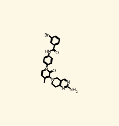 Cc1ccn(-c2ccc(NC(=O)c3cccc(Br)c3)cc2)c(=O)c1N1CCc2nc(N)ncc2C1